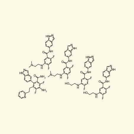 CN(C)CCNc1cc(C(=O)Nc2ccc3[nH]ncc3c2)c(F)cc1F.CN(C)CCNc1cc(C(=O)Nc2ccc3cn[nH]c3c2)c(F)cc1F.NC(=O)c1c(F)c(N)c(F)c(CCc2ccccn2)c1-c1ccc2[nH]ncc2c1.O=C(Nc1ccc2[nH]ncc2c1)c1cc(NCCO)c(F)cc1F.O=C(Nc1ccc2cn[nH]c2c1)c1cc(NCCO)c(F)cc1F